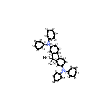 N#CC1(C#N)c2cc(N(c3ccccc3)c3ccccc3)ccc2-c2ccc(N(c3ccccc3)c3ccccc3)cc21